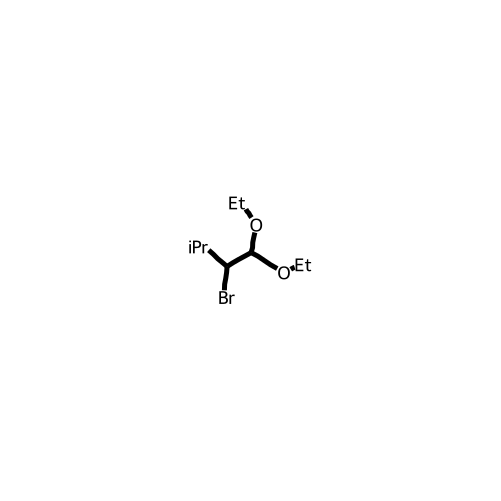 CCOC(OCC)C(Br)C(C)C